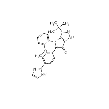 COc1ccccc1C1c2c(C(C)(C)C)n[nH]c2C(=O)N1c1ccc(-c2ncc[nH]2)cc1